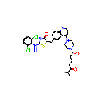 C=C(C)C(=O)CCCC(=O)N1CCN(c2ccnc3ccc(C=C4SC(Nc5c(Cl)cccc5Cl)=NC4=O)cc23)CC1